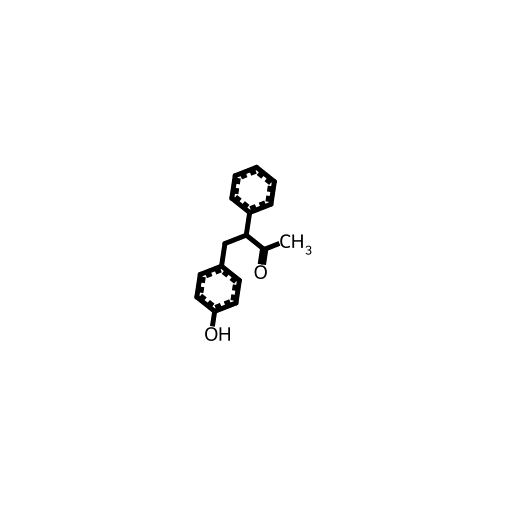 CC(=O)C(Cc1ccc(O)cc1)c1ccccc1